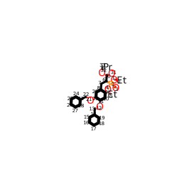 CCOP(=O)(OCC)C(Cc1ccc(OCc2ccccc2)c(OCc2ccccc2)c1)C(=O)OC(C)C